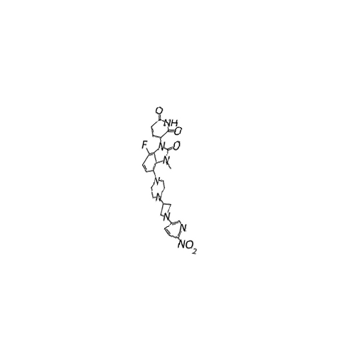 Cn1c(=O)n(C2CCC(=O)NC2=O)c2c(F)ccc(N3CCN(C4CN(c5ccc([N+](=O)[O-])nc5)C4)CC3)c21